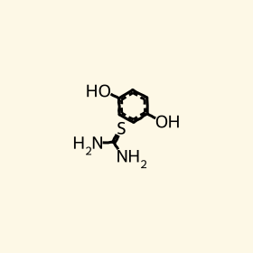 NC(N)=S.Oc1ccc(O)cc1